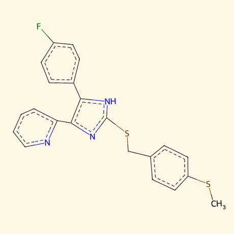 CSc1ccc(CSc2nc(-c3ccccn3)c(-c3ccc(F)cc3)[nH]2)cc1